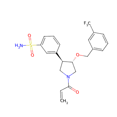 C=CC(=O)N1C[C@@H](OCc2cccc(C(F)(F)F)c2)[C@H](c2cccc(S(N)(=O)=O)c2)C1